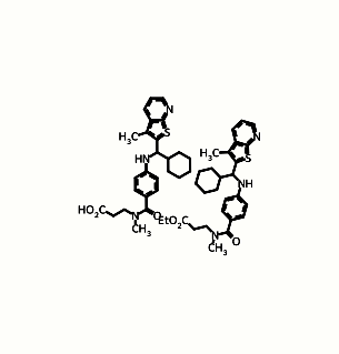 CCOC(=O)CCN(C)C(=O)c1ccc(NC(c2sc3ncccc3c2C)C2CCCCC2)cc1.Cc1c(C(Nc2ccc(C(=O)N(C)CCC(=O)O)cc2)C2CCCCC2)sc2ncccc12